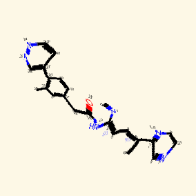 C=N/C(=C\C=C(/C)c1cnccn1)NC(=O)Cc1ccc(-c2ccnnc2)c(C)c1